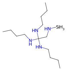 CCCCNC(CN[SiH3])(NCCCC)NCCCC